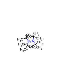 CC(C)N([N+](C(C)(C)C)C(C)(C)C)C(C)(C)C